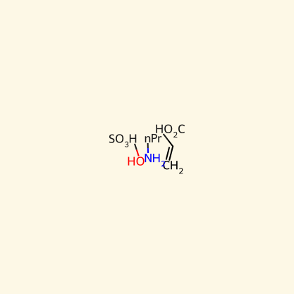 C=CC(=O)O.CCCN.O=S(=O)(O)O